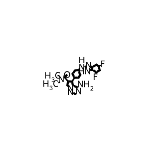 CCN(C)C(=O)c1cn2ncnc(N)c2c1-c1ccc(Nc2nc3cc(F)cc(F)c3[nH]2)cc1